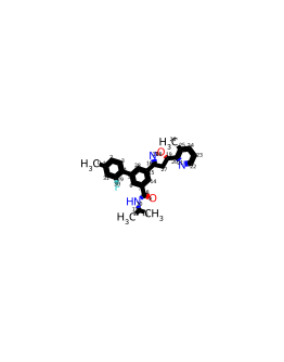 Cc1ccc(-c2cc(C(=O)NC(C)C)cc(C3=NOC(c4ncccc4C)C3)c2)c(F)c1